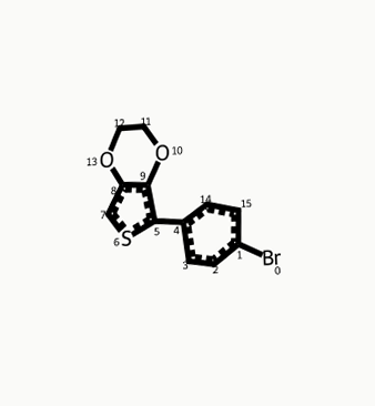 Brc1ccc(-c2scc3c2OCCO3)cc1